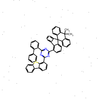 CC1(C)c2ccccc2C2(c3ccccc3-c3c(-c4nc(-c5ccccc5-c5ccccc5)nc(-c5cccc6c5sc5ccccc56)n4)cccc32)c2ccccc21